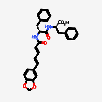 O=C(/C=C/C=C/c1ccc2c(c1)OCO2)N[C@H](Cc1ccccc1)C(=O)N[C@@H](Cc1ccccc1)C(=O)O